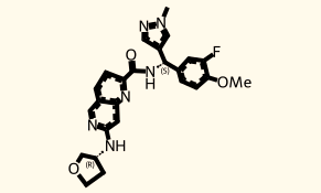 COc1ccc([C@H](NC(=O)c2ccc3cnc(N[C@@H]4CCOC4)cc3n2)c2cnn(C)c2)cc1F